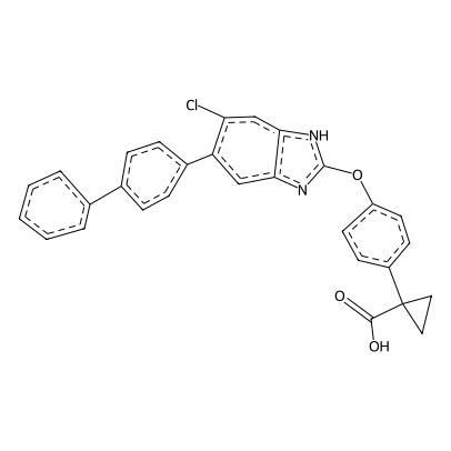 O=C(O)C1(c2ccc(Oc3nc4cc(-c5ccc(-c6ccccc6)cc5)c(Cl)cc4[nH]3)cc2)CC1